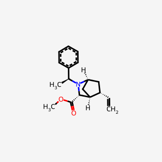 C=C[C@H]1C[C@H]2C[C@@H]1[C@H](C(=O)OC)N2[C@@H](C)c1ccccc1